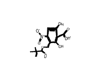 CC(C)(C)C(=O)OCc1c([N+](=O)[O-])cc(O)c(C(=O)O)c1O